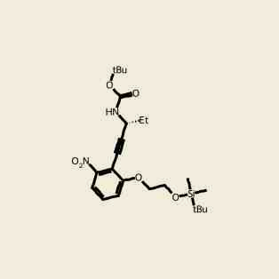 CC[C@H](C#Cc1c(OCCO[Si](C)(C)C(C)(C)C)cccc1[N+](=O)[O-])NC(=O)OC(C)(C)C